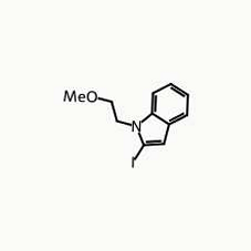 COCCn1c(I)cc2ccccc21